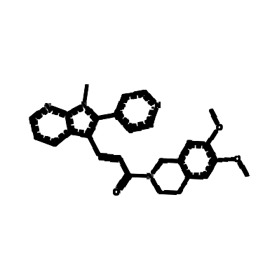 COc1cc2c(cc1OC)CN(C(=O)C=Cc1c(-c3ccncc3)n(C)c3ncccc13)CC2